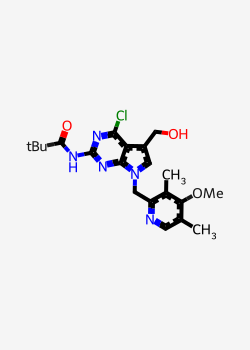 COc1c(C)cnc(Cn2cc(CO)c3c(Cl)nc(NC(=O)C(C)(C)C)nc32)c1C